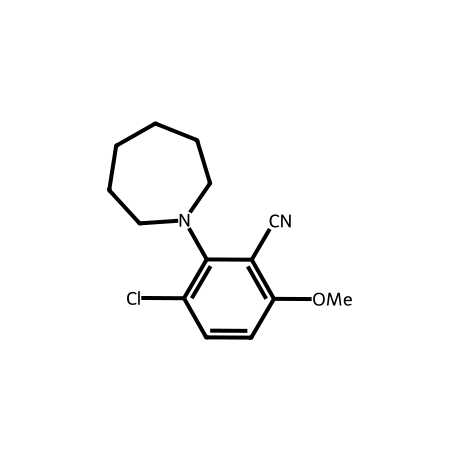 COc1ccc(Cl)c(N2CCCCCC2)c1C#N